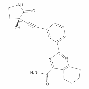 NC(=O)c1nc(-c2cccc(C#C[C@]3(O)CCNC3=O)c2)nc2c1CCCC2